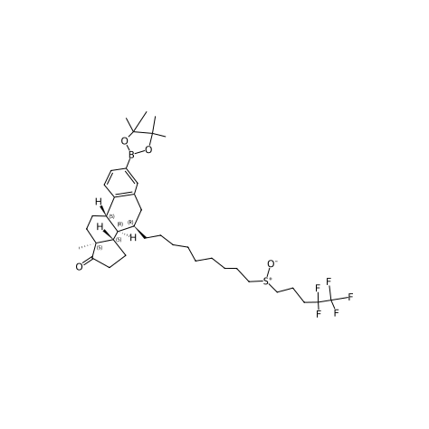 CC1(C)OB(c2ccc3c(c2)C[C@@H](CCCCCCCCC[S+]([O-])CCCC(F)(F)C(F)(F)F)[C@@H]2[C@@H]3CC[C@]3(C)C(=O)CC[C@@H]23)OC1(C)C